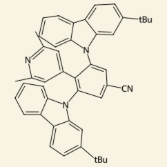 Cc1cc(-c2c(-n3c4ccccc4c4ccc(C(C)(C)C)cc43)cc(C#N)cc2-n2c3ccccc3c3ccc(C(C)(C)C)cc32)cc(C)n1